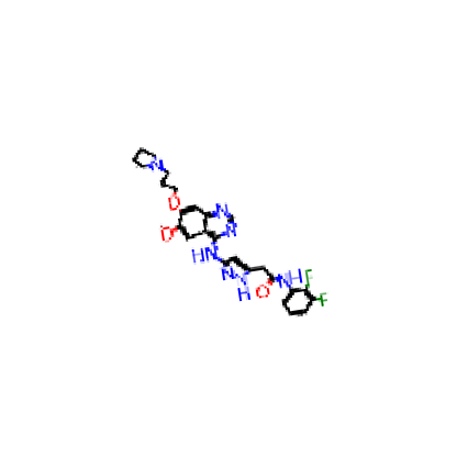 COc1cc2c(Nc3cc(CC(=O)Nc4cccc(F)c4F)[nH]n3)ncnc2cc1OCCCN1[CH]CCC1